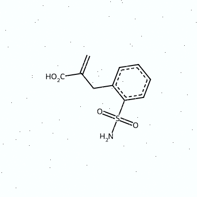 C=C(Cc1ccccc1S(N)(=O)=O)C(=O)O